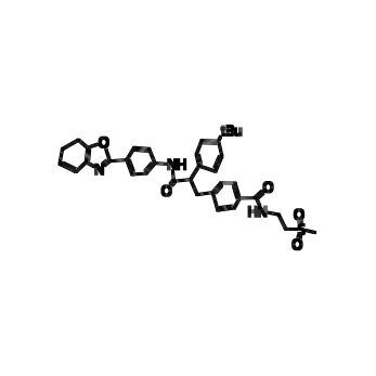 CC(C)(C)c1ccc(C(Cc2ccc(C(=O)NCCS(C)(=O)=O)cc2)C(=O)Nc2ccc(-c3nc4c(o3)CCC=C4)cc2)cc1